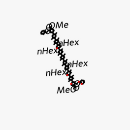 CCCCCCc1cc(-c2cc(C)c(-c3cc(C)c(-c4cc(C)c(-c5cc(CCCCCC)c(-c6cc(C)c(-c7cc(C)c(-c8ccc(C(=O)OC)c(OCc9ccccc9)c8)cc7C)cc6C)cc5CCCCCC)cc4C)cc3C)cc2C)c(CCCCCC)cc1-c1cc(C)c(-c2cc(C)c(-c3ccc(C(=O)OC)c(OCc4ccccc4)c3)cc2C)cc1C